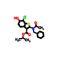 CC(=O)N(Cc1ccccc1)c1sc2c(Cl)c(O)ccc2c1C(=O)OC(C)C